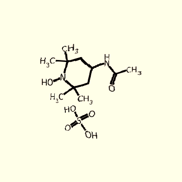 CC(=O)NC1CC(C)(C)N(O)C(C)(C)C1.O=S(=O)(O)O